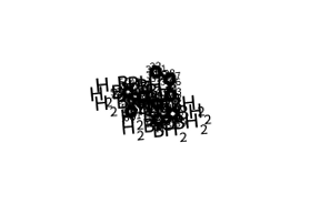 Bc1c(B)c(B)c2c(oc3c(B)c(B)c(B)c(-c4nc(-c5cccc(-c6cccc(-c7ccccc7)c6)c5)nc(-c5c(B)c(B)c6c7c(B)c(B)c(B)c(B)c7n(-c7ccccc7)c6c5B)n4)c32)c1B